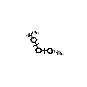 CC(C)(C)Nc1ccc(C(C)(C)c2cccc(C(C)(C)c3ccc(NC(C)(C)C)cc3)c2)cc1